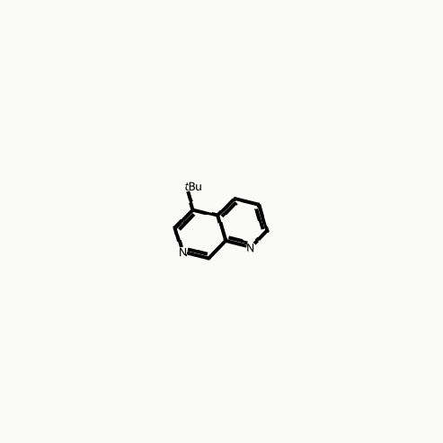 CC(C)(C)c1cncc2ncccc12